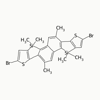 Cc1cc2c3c(c(C)cc2c2c1-c1sc(Br)cc1[Si]2(C)C)-c1sc(Br)cc1[Si]3(C)C